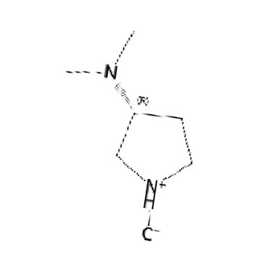 [CH2-][NH+]1CC[C@@H](N(C)C)C1